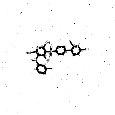 CCCCc1nc(O)c(S(=O)(=O)c2ccc(-c3ccc(F)nc3C)cc2)c(O)c1N(C)c1cccc(C)c1